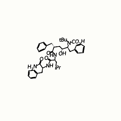 CC(C)C[C@H](NC(=O)[C@H](Cc1ccccc1)C[C@@H](O)[C@H](Cc1ccccc1)N(C(=O)O)C(C)(C)C)C(=O)N[C@@H](Cc1ccccc1)C(N)=O